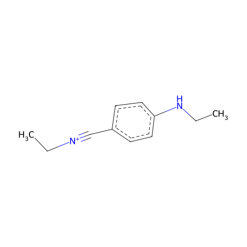 CC[N+]#Cc1ccc(NCC)cc1